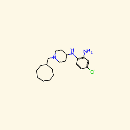 Nc1cc(Cl)ccc1NC1CCN(CC2CCCCCCC2)CC1